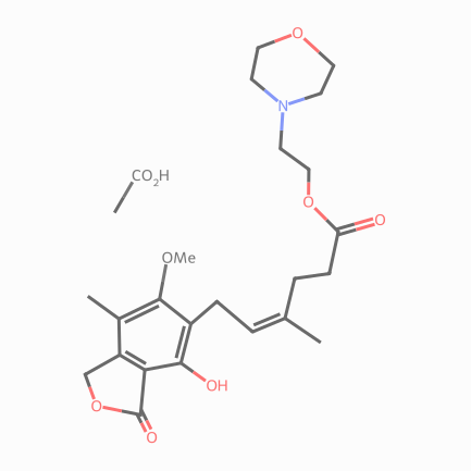 CC(=O)O.COc1c(C)c2c(c(O)c1CC=C(C)CCC(=O)OCCN1CCOCC1)C(=O)OC2